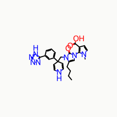 CCCCc1cn(-c2c(C(=O)O)ccn2C)c(=O)n1CC1(c2cccc(-c3nnn[nH]3)c2)C=CNC=C1